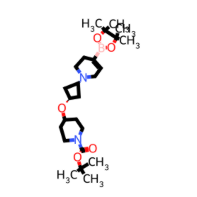 CC(C)(C)OC(=O)N1CCC(O[C@H]2C[C@H](N3CC=C(B4OC(C)(C)C(C)(C)O4)CC3)C2)CC1